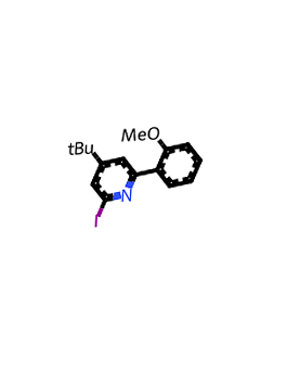 COc1ccccc1-c1cc(C(C)(C)C)cc(I)n1